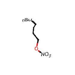 [CH2]CCCCCCO[N+](=O)[O-]